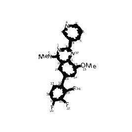 CNc1nc(-c2cccnc2)nc2c(OC)cc(-c3ccc(F)c(F)c3F)cc12